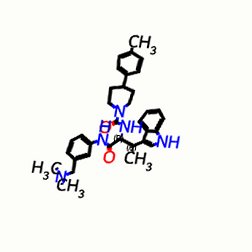 Cc1ccc(C2CCN(C(=O)N[C@@H](C(=O)Nc3cccc(CN(C)C)c3)[C@H](C)c3c[nH]c4ccccc34)CC2)cc1